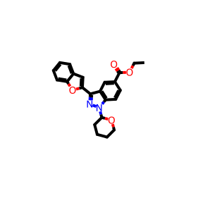 CCOC(=O)c1ccc2c(c1)c(-c1cc3ccccc3o1)nn2C1CCCCO1